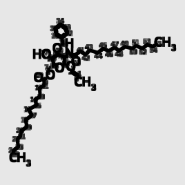 CC=CO[C@H]1O[C@H](COC(=O)CCCCCCCCCCCCCCC)[C@@H](O)[C@H](OCc2ccccc2)[C@@H]1NC(=O)CCCCCCCCCCCCCCC